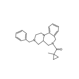 CC1(C(=O)N2Cc3ccccc3N3CCN(Cc4ccccc4)CC3C2)CC1